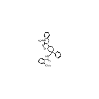 CC/N=C(/NC#N)N(Cc1ccccn1)C1CCC(CNC(=O)c2ccccc2OC)(c2ccccc2)CC1